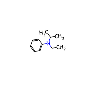 [CH2]CN(c1ccccc1)C(C)C